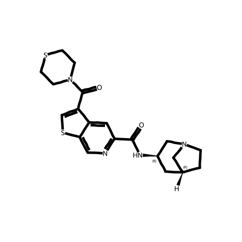 O=C(N[C@@H]1C[C@H]2CCN(C2)C1)c1cc2c(C(=O)N3CCSCC3)csc2cn1